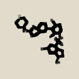 O=S(=O)(Nc1ccc(F)c(-c2ccc3nc(NC4CCNCC4)ncc3c2)c1F)c1cc(Cl)cc2c1CC[C@H]2O